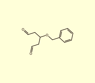 O=CCC(CC=O)OCc1ccccc1